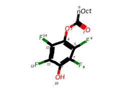 CCCCCCCCC(=O)Oc1c(F)c(F)c(O)c(F)c1F